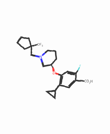 O=C(O)c1cc(C2CC2)c(O[C@@H]2CCCN(CC3(C(F)(F)F)CCCC3)C2)cc1F